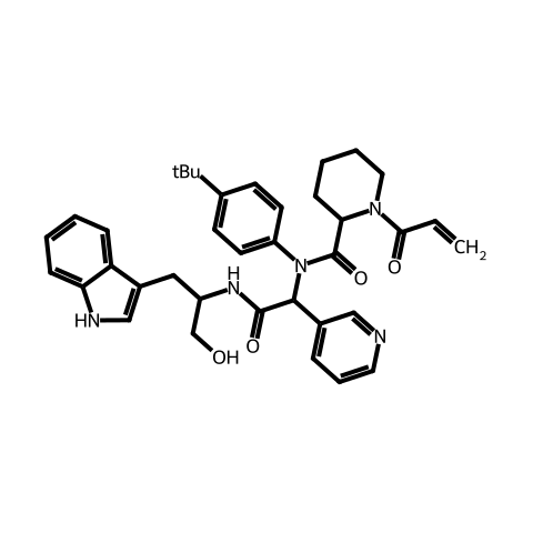 C=CC(=O)N1CCCCC1C(=O)N(c1ccc(C(C)(C)C)cc1)C(C(=O)NC(CO)Cc1c[nH]c2ccccc12)c1cccnc1